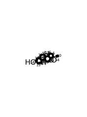 C#C[C@]1(OC)CC[C@H]2[C@@H]3CCc4cc(O)ccc4[C@H]3CC[C@@]21C